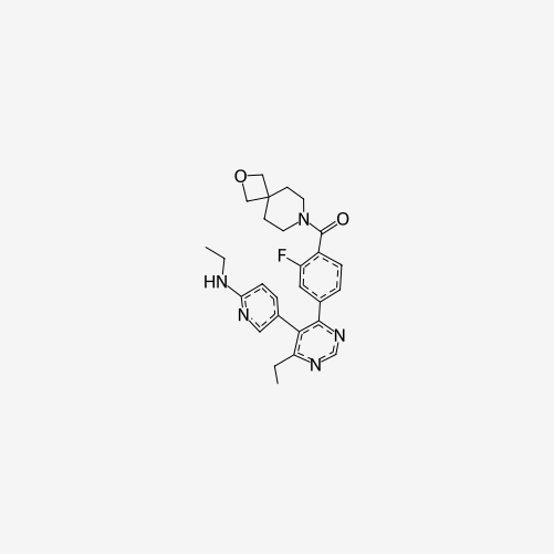 CCNc1ccc(-c2c(CC)ncnc2-c2ccc(C(=O)N3CCC4(CC3)COC4)c(F)c2)cn1